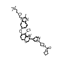 Cc1nc2ccc(Oc3ccc4ncc(-c5cnn(C6CN(C(=O)N7CCC7)C6)c5)nc4c3Cl)cc2n1COCC[Si](C)(C)C